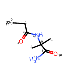 CC(C)CC(=O)NC(C)(C)C(N)=O